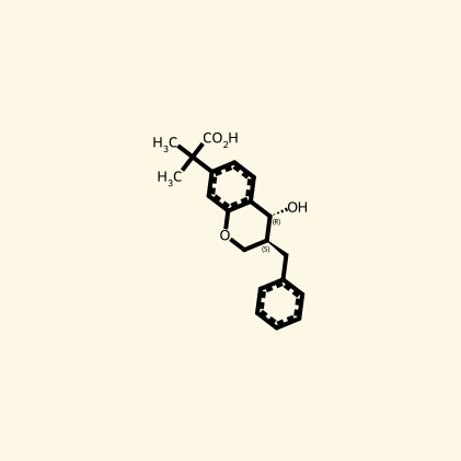 CC(C)(C(=O)O)c1ccc2c(c1)OC[C@H](Cc1ccccc1)[C@H]2O